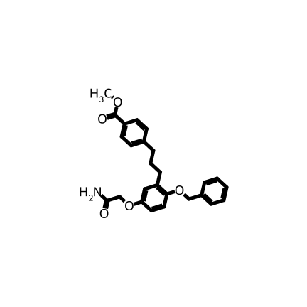 COC(=O)c1ccc(CCCc2cc(OCC(N)=O)ccc2OCc2ccccc2)cc1